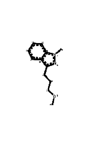 COCCCc1nn(C)c2ccccc12